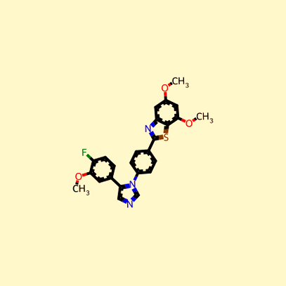 COc1cc(OC)c2sc(-c3ccc(-n4cncc4-c4ccc(F)c(OC)c4)cc3)nc2c1